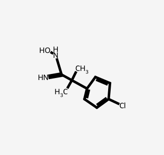 CC(C)(C(=N)NO)c1ccc(Cl)cc1